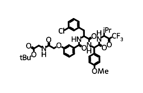 COc1ccc(C(NC(=O)C(Cc2cccc(Cl)c2)NC(=O)c2cccc(OCC(=O)NCC(=O)OC(C)(C)C)c2)C(=O)NC(C(=O)C(F)(F)F)C(C)C)cc1